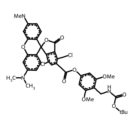 CNc1ccc2c(c1)Oc1cc(N(C)C)ccc1C21OC(=O)c2c(Cl)c(C(=O)Oc3cc(OC)c(CNC(=O)OC(C)(C)C)c(OC)c3)cc(Cl)c21